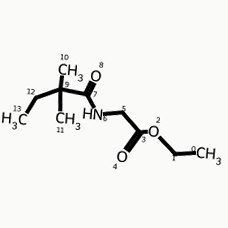 CCOC(=O)CNC(=O)C(C)(C)CC